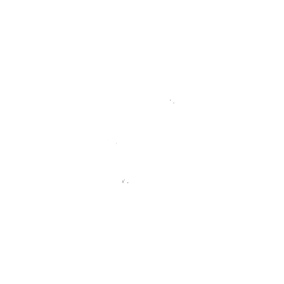 Cc1c(CC#N)cccc1N=O